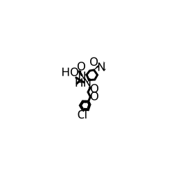 CN(C)C(=O)[C@H]1CC[C@H](NC(=O)CC(=O)c2ccc(Cl)cc2)[C@H](N(C(=O)O)C(C)(C)C)C1